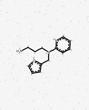 NCCCN(Cc1ccco1)c1ccccn1